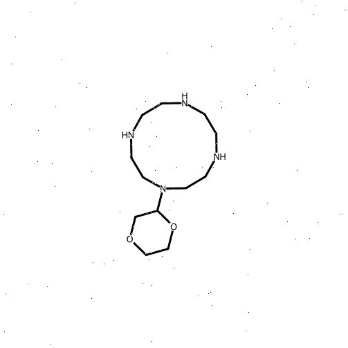 C1CNCCN(C2COCCO2)CCNCCN1